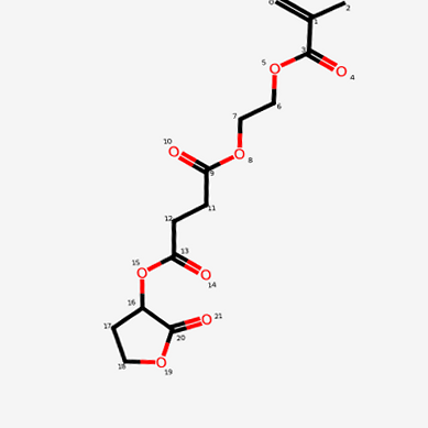 C=C(C)C(=O)OCCOC(=O)CCC(=O)OC1CCOC1=O